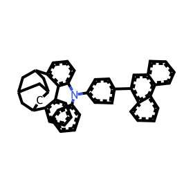 c1ccc(N(c2ccc(-c3cc4ccccc4c4ccccc34)cc2)c2cccc3c2-c2ccccc2C2CC4CC(C2)CC3C4)cc1